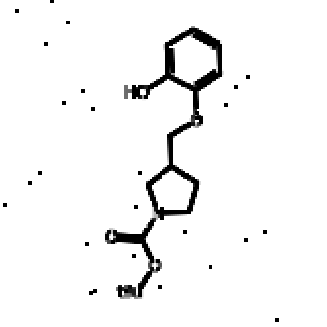 CC(C)(C)OC(=O)N1CCC(COc2ccccc2O)C1